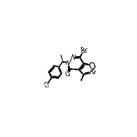 Cc1noc2c(Br)nn([C@H](C)c3ccc(Cl)cc3)c(=O)c12